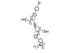 Cn1c(=O)oc2ccc(-c3ccc(CC(C#[N+][N+]#CC(Cc4ccc(-c5ccc(C#N)cc5)s4)NC(=O)C4CNC4)NC(=O)C4CNC4)s3)cc21